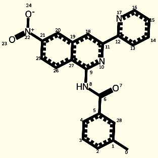 Cc1cccc(C(=O)Nc2nc(-c3ccccn3)cc3cc([N+](=O)[O-])ccc23)c1